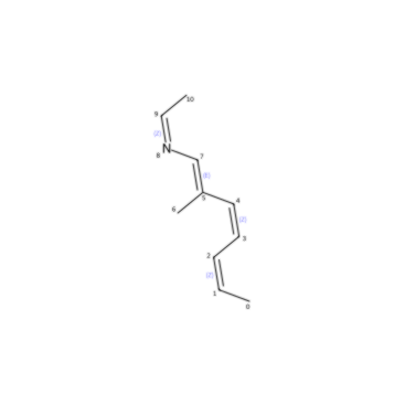 C\C=C/C=C\C(C)=C\N=C/C